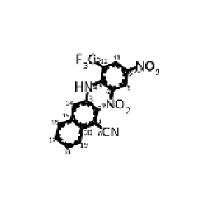 N#Cc1cc(Nc2c([N+](=O)[O-])cc([N+](=O)[O-])cc2C(F)(F)F)cc2ccccc12